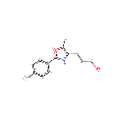 Cc1oc(-c2ccc(C(F)(F)F)cc2)nc1CCCO